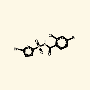 O=C(NS(=O)(=O)c1ccc(Br)s1)c1ccc(Br)cc1Cl